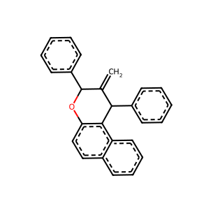 C=C1C(c2ccccc2)Oc2ccc3ccccc3c2C1c1ccccc1